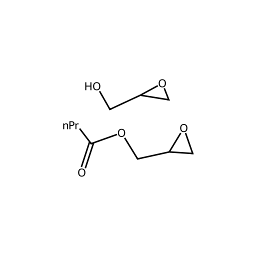 CCCC(=O)OCC1CO1.OCC1CO1